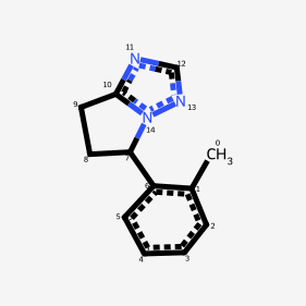 Cc1ccccc1C1CCc2ncnn21